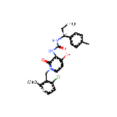 COc1cccc(Cl)c1Cn1ccc(O)c(NC(=O)N[C@@H](CC(=O)O)c2ccc(C)cc2)c1=O